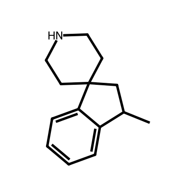 CC1CC2(CCNCC2)c2ccccc21